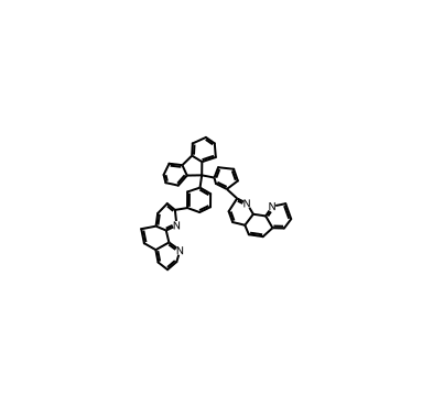 C1=CC2C=Cc3cccnc3C2N=C1c1cccc(C2(c3cccc(-c4ccc5ccc6cccnc6c5n4)c3)c3ccccc3-c3ccccc32)c1